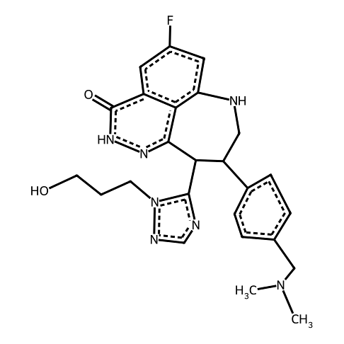 CN(C)Cc1ccc(C2CNc3cc(F)cc4c(=O)[nH]nc(c34)C2c2ncnn2CCCO)cc1